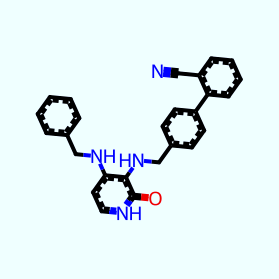 N#Cc1ccccc1-c1ccc(CNc2c(NCc3ccccc3)cc[nH]c2=O)cc1